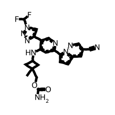 CC1(COC(N)=O)CC(Nc2cc(-c3ccc4cc(C#N)cnn34)ncc2-c2cn(C(F)F)nn2)C1